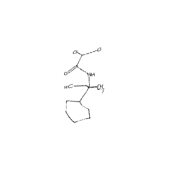 CC(C#N)(NC(=O)C(Cl)Cl)C1CCCCC1